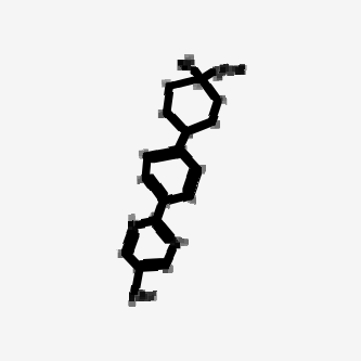 CCCCCCCCCCc1cnc(-c2ccc(C3CCC(C#N)(CCCCC)CC3)cc2)nc1